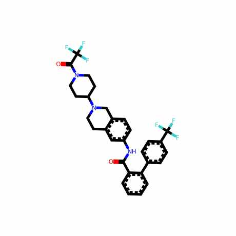 O=C(Nc1ccc2c(c1)CCN(C1CCN(C(=O)C(F)(F)F)CC1)C2)c1ccccc1-c1ccc(C(F)(F)F)cc1